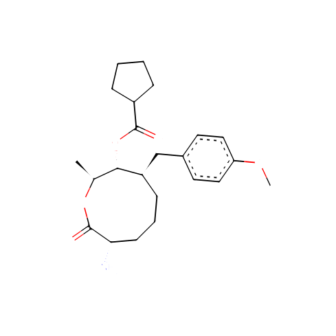 COc1ccc(C[C@H]2CCC[C@H](N)C(=O)O[C@@H](C)[C@@H]2OC(=O)C2CCCC2)cc1